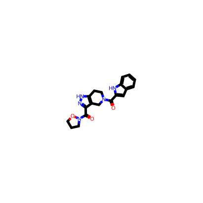 O=C(c1cc2ccccc2[nH]1)N1CCc2[nH]nc(C(=O)N3CCCO3)c2C1